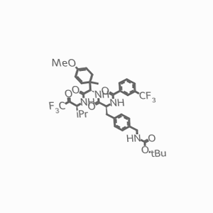 COC1=CCC(C)([C@H](NC(=O)[C@H](Cc2ccc(CNC(=O)OC(C)(C)C)cc2)NC(=O)c2cccc(C(F)(F)F)c2)C(=O)N[C@H](C(=O)C(F)(F)F)C(C)C)C=C1